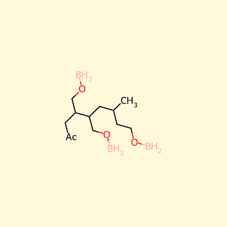 BOCCC(C)CC(COB)C(COB)CC(C)=O